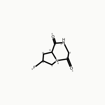 O=C1NCC(=O)N2CC(F)CC12